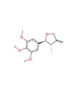 C=C1CO[C@H](c2cc(OC)c(OC)c(OC)c2)[C@H]1C